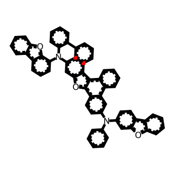 c1ccc(-c2ccccc2N(c2ccc3c(c2)oc2c4ccc(N(c5ccccc5)c5ccc6c(c5)oc5ccccc56)cc4c4ccccc4c32)c2cccc3c2oc2ccccc23)cc1